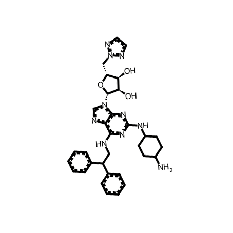 NC1CCC(Nc2nc(NCC(c3ccccc3)c3ccccc3)c3ncn([C@@H]4O[C@H](Cn5nccn5)[C@@H](O)[C@H]4O)c3n2)CC1